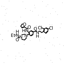 CCNC(=O)N1CCCN(c2ccc(C(=O)NCCc3ccc(Cl)cc3Cl)cc2NC(=O)C2=CCCO2)CC1